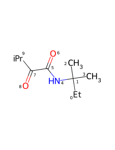 CCC(C)(C)NC(=O)C(=O)C(C)C